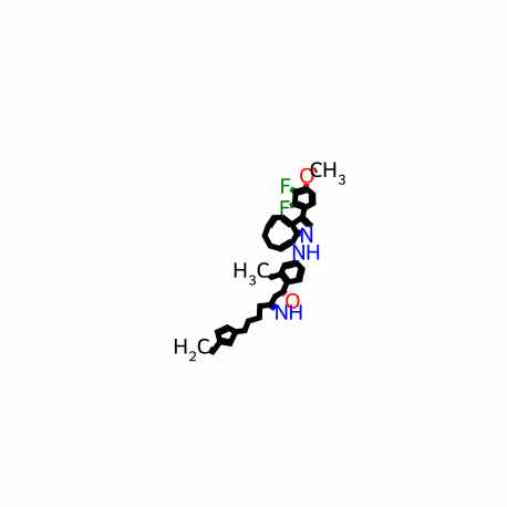 C=CC1=CC(CCCCC(=N)CC(=O)c2ccc(N/C3=C/CC/C=C\C=C4\C(c5ccc(OC)c(F)c5F)=CN=C43)cc2CC)C=C1